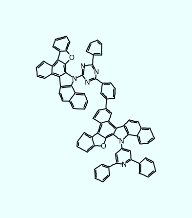 c1ccc(-c2cc(-n3c4c5ccccc5ccc4c4c5cc(-c6cccc(-c7nc(-c8ccccc8)nc(-n8c9c%10ccccc%10ccc9c9c%10ccccc%10c%10c%11ccccc%11oc%10c98)n7)c6)ccc5c5c6ccccc6oc5c43)cc(-c3ccccc3)n2)cc1